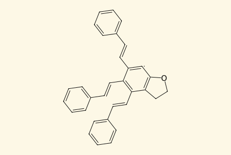 [c]1c(C=Cc2ccccc2)c(C=Cc2ccccc2)c(C=Cc2ccccc2)c2c1OCC2